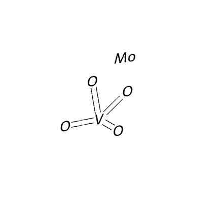 [Mo].[O]=[V](=[O])(=[O])=[O]